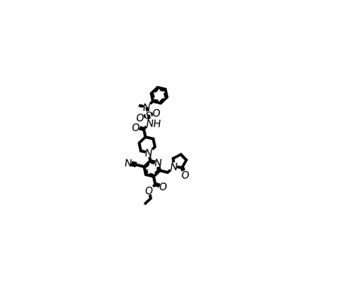 CCOC(=O)c1cc(C#N)c(N2CCC(C(=O)NS(=O)(=O)N(C)c3ccccc3)CC2)nc1CN1CCCC1=O